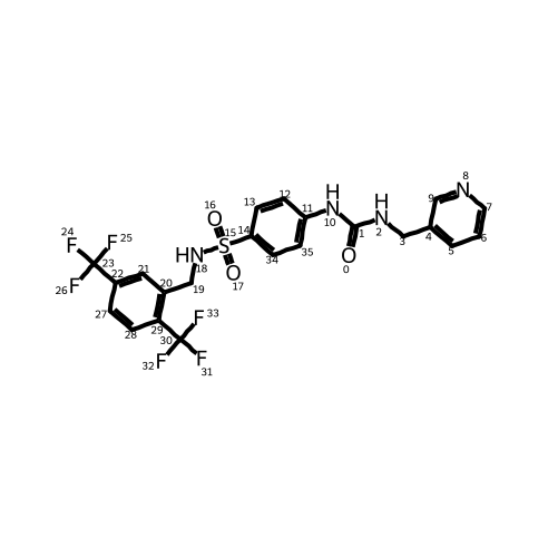 O=C(NCc1cccnc1)Nc1ccc(S(=O)(=O)NCc2cc(C(F)(F)F)ccc2C(F)(F)F)cc1